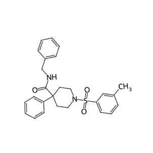 Cc1cccc(S(=O)(=O)N2CCC(C(=O)NCc3ccccc3)(c3ccccc3)CC2)c1